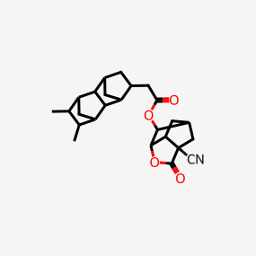 CC1C(C)C2CC1C1C3CC(CC(=O)OC4C5CC6C4OC(=O)C6(C#N)C5)C(C3)C21